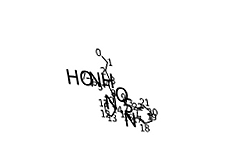 CCCC[C@H](CNO)C(=O)N1CCC[C@H]1c1nc2ccccc2s1